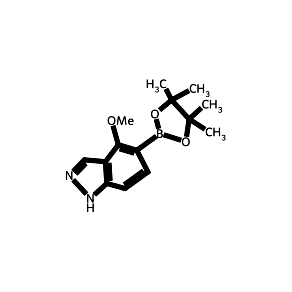 COc1c(B2OC(C)(C)C(C)(C)O2)ccc2[nH]ncc12